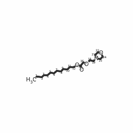 CCCCCCCCCCCCCOC(=O)COCCN1CCOCC1